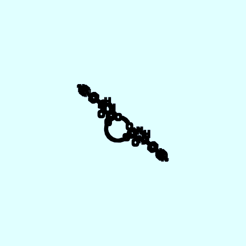 CN1CCN(c2ccc(C3=CN4C(=O)c5cc6c(cc5N=C[C@@H]4C3)OCCCOc3cc4c(cc3OCCCCCCCCO6)C(=O)N3C=C(c5ccc(N6CCN(C)CC6)cc5)C[C@H]3C=N4)cc2)CC1